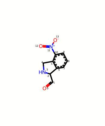 O=CC1NCc2c1cccc2[N+](=O)[O-]